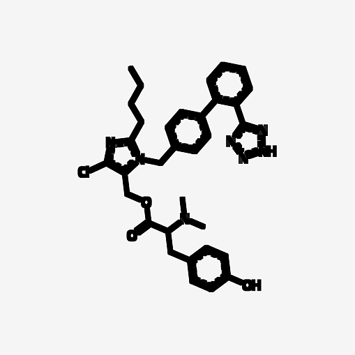 CCCCc1nc(Cl)c(COC(=O)C(Cc2ccc(O)cc2)N(C)C)n1Cc1ccc(-c2ccccc2-c2nn[nH]n2)cc1